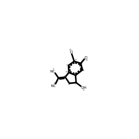 N#CC(C#N)=C1CC(O)c2cc(Cl)c(Cl)cc21